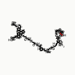 CN(CCCC(=O)NCCSSCCC(=O)NCCNC(=O)c1cccc(OCC(N=[N+]=[N-])OCCOCC(=O)NCC#Cc2cn([C@H]3CC(OCN=[N+]=[N-])[C@@H](COP(=O)(O)OP(=O)(O)OP(=O)(O)O)O3)c3ncnc(N)c23)c1)C(=O)c1ccccc1-c1c2cc3c(cc2[o+]c2cc4c(cc12)CCCN4CCCS(=O)(=O)O)N(CCCS(=O)(=O)[O-])CCC3